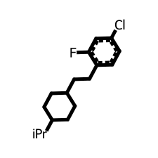 CC(C)C1CCC(CCc2ccc(Cl)cc2F)CC1